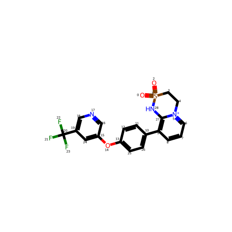 O=S1(=O)CC[n+]2cccc(-c3ccc(Oc4cncc(C(F)(F)F)c4)cc3)c2N1